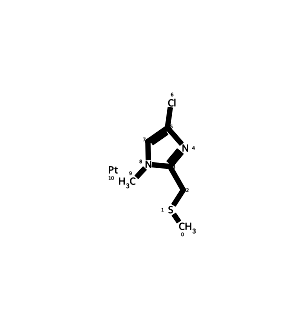 CSCc1nc(Cl)cn1C.[Pt]